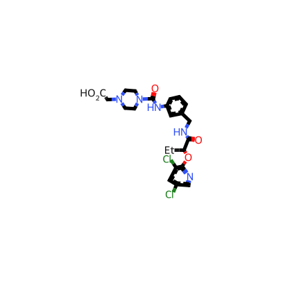 CCC(Oc1ncc(Cl)cc1Cl)C(=O)NCc1cccc(NC(=O)N2CCN(CC(=O)O)CC2)c1